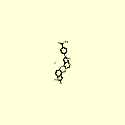 Cc1cc2c(F)c(Oc3ncnc4[nH]c(-c5ccc(C(=O)O)cc5)cc34)ccc2[nH]1.[Li]